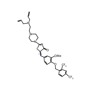 C=CCN(CC=C)CCN1CCN(C2=NC(=O)/C(=C\c3ccc(OCc4ccc(C(F)(F)F)cc4C(F)(F)F)c(OC)c3)S2)CC1